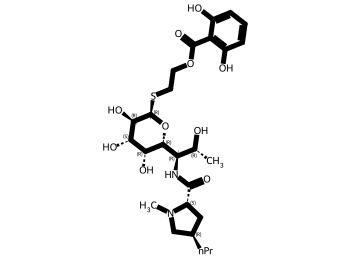 CCC[C@@H]1C[C@@H](C(=O)N[C@@H]([C@H]2O[C@H](SCCOC(=O)c3c(O)cccc3O)[C@H](O)[C@@H](O)[C@H]2O)[C@@H](C)O)N(C)C1